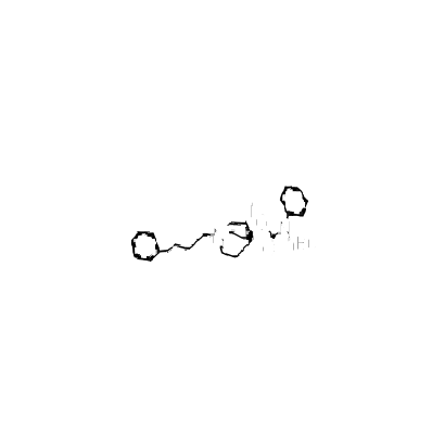 CCCCN(C(=O)O[C@H]1C[N+]2(CCCCc3ccccc3)CCC1CC2)c1ccccc1